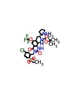 CCS(=O)(=O)c1ccc(Cl)cc1Cn1c(=O)[nH]c2c(Cl)c(CC(NC(=O)OC(C)(C)C)[C@@H]3CCCN3)c(OC(F)(F)F)cc2c1=O